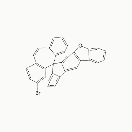 Brc1ccc2c(c1)C1(c3ccccc3C=C2)c2ccccc2-c2cc3c(cc21)oc1ccccc13